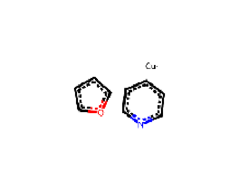 [Cu].c1ccncc1.c1ccoc1